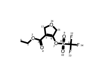 CCOC(=O)C1=C(OS(=O)(=O)C(F)(F)F)COC1